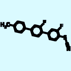 Cc1ccc(-c2ccc(-c3ccc(SC#N)c(F)c3)c(F)c2)cc1